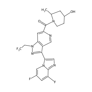 CC1CC(O)CCN1C(=O)c1cc2c(cn1)c(-c1cnc3c(F)cc(F)cn13)nn2CC(F)(F)F